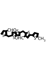 Cc1ccc(-c2cc(C=O)c(Cc3cc4sc(Cc5sccc5C=O)cc4s3)s2)s1